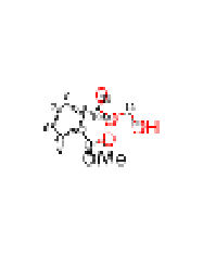 COC(=O)c1c(C)cccc1C(=O)OCO